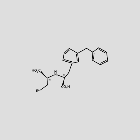 CC(C)C[C@H](N[C@@H](Cc1cccc(Cc2ccccc2)c1)C(=O)O)C(=O)O